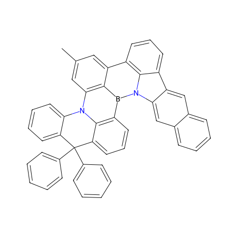 Cc1cc2c3c(c1)N1c4ccccc4C(c4ccccc4)(c4ccccc4)c4cccc(c41)B3n1c3cc4ccccc4cc3c3cccc-2c31